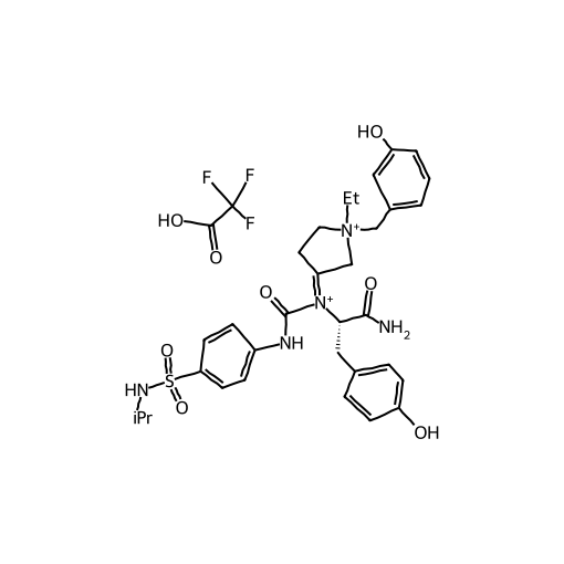 CC[N+]1(Cc2cccc(O)c2)CC/C(=[N+](\C(=O)Nc2ccc(S(=O)(=O)NC(C)C)cc2)[C@@H](Cc2ccc(O)cc2)C(N)=O)C1.O=C(O)C(F)(F)F